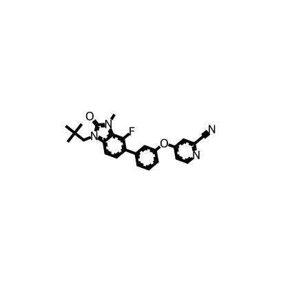 Cn1c(=O)n(CC(C)(C)C)c2ccc(-c3cccc(Oc4ccnc(C#N)c4)c3)c(F)c21